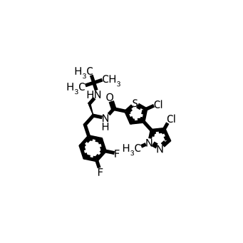 Cn1ncc(Cl)c1-c1cc(C(=O)N[C@H](CNC(C)(C)C)Cc2ccc(F)c(F)c2)sc1Cl